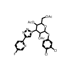 CC(=O)OCC1OC(Sc2ccc(Cl)c(Cl)c2)C(OC(C)=O)C(n2cc(-c3ccc(F)cn3)nn2)C1OC(C)=O